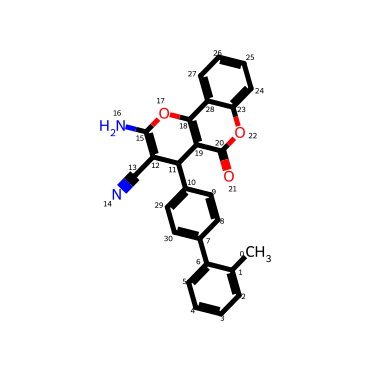 Cc1ccccc1-c1ccc(C2C(C#N)=C(N)Oc3c2c(=O)oc2ccccc32)cc1